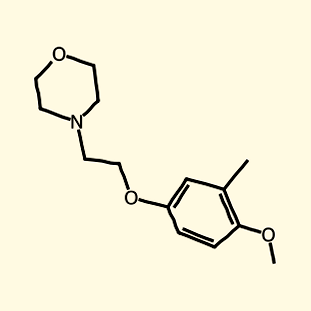 COc1ccc(OCCN2CCOCC2)cc1C